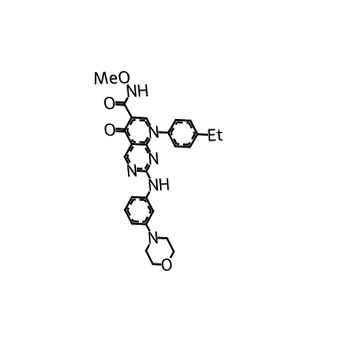 CCc1ccc(-n2cc(C(=O)NOC)c(=O)c3cnc(Nc4cccc(N5CCOCC5)c4)nc32)cc1